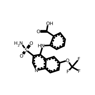 NS(=O)(=O)c1cnc2ccc(OC(F)(F)F)cc2c1Nc1ccccc1C(=O)O